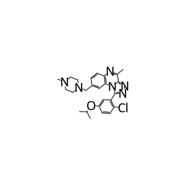 Cc1nc2ccc(CN3CCN(C)CC3)cc2n2c(-c3cc(OC(C)C)ccc3Cl)nnc12